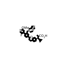 COc1cc(-c2ccc(C3CCc4ccc([C@H](C5CC5)[C@H](C)C(=O)O)cc4O3)cc2CN2CCn3cncc3C2)c(F)cn1